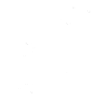 CNC(CCCCNC(=O)CCCCCCCCC(=O)NC(CC(C)C)C(=O)OCCCCCCOC(=O)C(CC(C)C)NC(=O)CCCCCCCCC(C)=O)C(=O)O